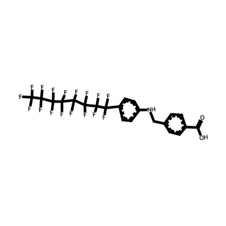 O=C(O)c1ccc(CNc2ccc(C(F)(F)C(F)(F)C(F)(F)C(F)(F)C(F)(F)C(F)(F)C(F)(F)C(F)(F)F)cc2)cc1